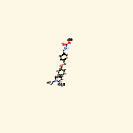 CC(C)(C)OC(=O)NCc1ccc(COc2ccc(C[C@H](C(=O)O)N(C=O)C(=O)O)cc2)cc1